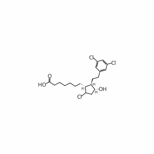 O=C(O)CCCCCC[C@H]1C(Cl)C[C@@H](O)[C@@H]1CCc1cc(Cl)cc(Cl)c1